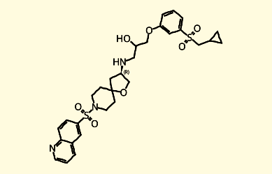 O=S(=O)(CC1CC1)c1cccc(OCC(O)CN[C@H]2COC3(CCN(S(=O)(=O)c4ccc5ncccc5c4)CC3)C2)c1